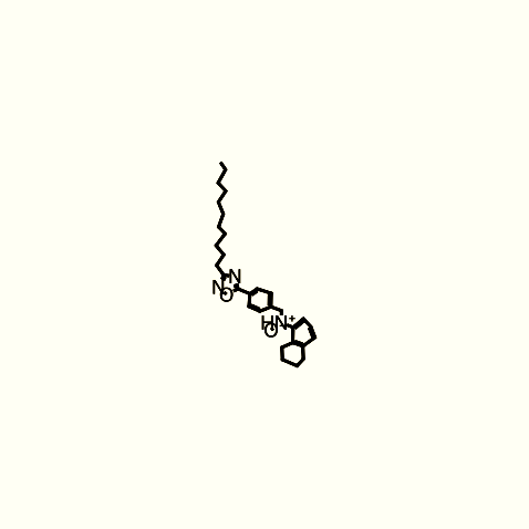 CCCCCCCCCCCc1noc(-c2ccc(C[NH+]([O-])c3cccc4c3CCCC4)cc2)n1